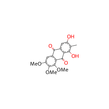 COc1cc2c(c(OC)c1OC)C(=O)c1c(cc(O)c(C)c1O)C2=O